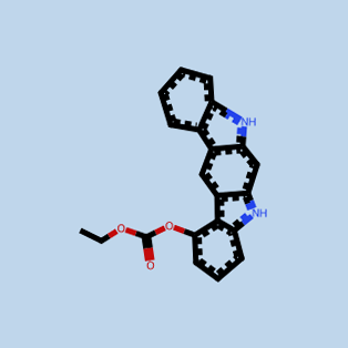 CCOC(=O)Oc1cccc2[nH]c3cc4[nH]c5ccccc5c4cc3c12